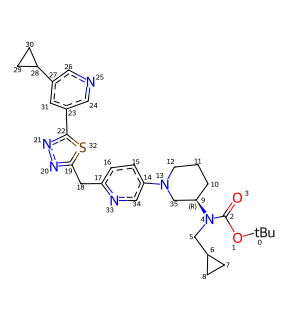 CC(C)(C)OC(=O)N(CC1CC1)[C@@H]1CCCN(c2ccc(Cc3nnc(-c4cncc(C5CC5)c4)s3)nc2)C1